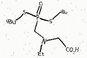 CCC(C)SP(=O)(CN(CC)CC(=O)O)SC(C)CC